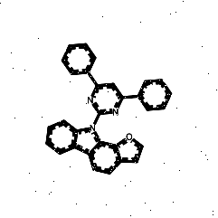 c1ccc(-c2cc(-c3ccccc3)nc(-n3c4ccccc4c4ccc5ccoc5c43)n2)cc1